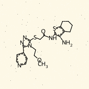 COCCn1c(SCC(=O)Nc2sc3c(c2N)CCCC3)nnc1-c1ccncc1